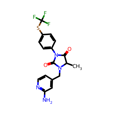 CC1C(=O)N(c2ccc(SC(F)(F)F)cc2)C(=O)N1Cc1ccnc(N)c1